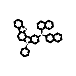 c1ccc(-n2c3ccc(N(c4ccc5ccccc5c4)c4cccc5ccccc45)cc3c3c4sc5ccccc5c4ccc32)cc1